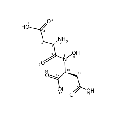 N[C@@H](CC(=O)O)C(=O)N(O)[C@@H](CC(=O)O)C(=O)O